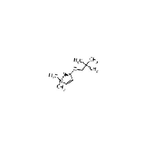 CC(C)(C)COC1=N[N+](C)(C)C=C1